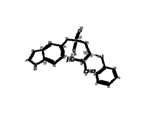 O=CN(O)[C@@H](Cc1ccccc1)CS(=O)(=O)Cc1ccc2sccc2c1